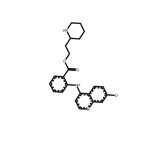 O=C(OCCC1CCCCN1)c1ccccc1Nc1ccnc2cc(Cl)ccc12